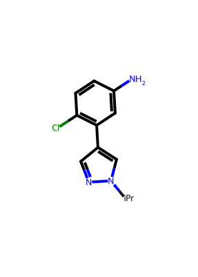 CC(C)n1cc(-c2cc(N)ccc2Cl)cn1